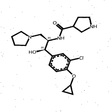 O=C(N[C@H](CN1CCCC1)[C@H](O)c1ccc(OC2CC2)c(Cl)c1)C1CCNC1